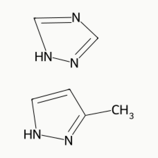 Cc1cc[nH]n1.c1nc[nH]n1